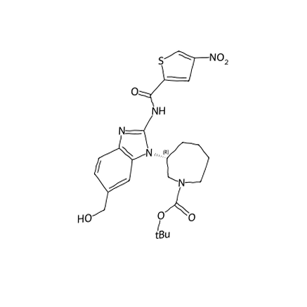 CC(C)(C)OC(=O)N1CCCC[C@@H](n2c(NC(=O)c3cc([N+](=O)[O-])cs3)nc3ccc(CO)cc32)C1